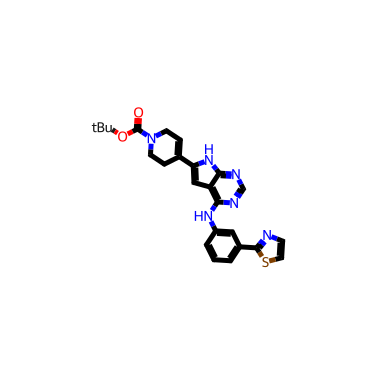 CC(C)(C)OC(=O)N1CC=C(c2cc3c(Nc4cccc(-c5nccs5)c4)ncnc3[nH]2)CC1